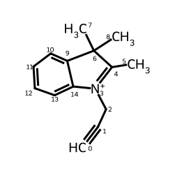 C#CC[N+]1=C(C)C(C)(C)c2ccccc21